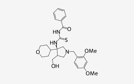 COc1ccc(CN2CC(CO)[C@](NC(=S)NC(=O)c3ccccc3)(C3CCOCC3)C2)c(OC)c1